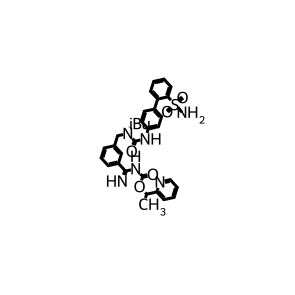 CCC(C)N(Cc1cccc(C(=N)NC(=O)OC(C)c2ccccn2)c1)C(=O)Nc1ccc(-c2ccccc2S(N)(=O)=O)cc1